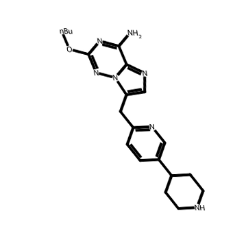 CCCCOc1nc(N)c2ncc(Cc3ccc(C4CCNCC4)cn3)n2n1